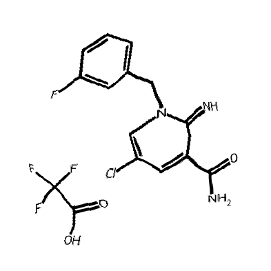 N=c1c(C(N)=O)cc(Cl)cn1Cc1cccc(F)c1.O=C(O)C(F)(F)F